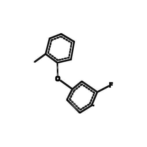 Cc1ccccc1Oc1cc[c]c(F)c1